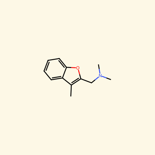 Cc1c(CN(C)C)oc2ccccc12